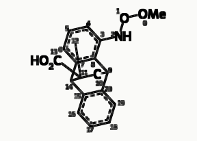 COONc1cccc2c1C1CC(C)(C(=O)O)C2c2ccccc21